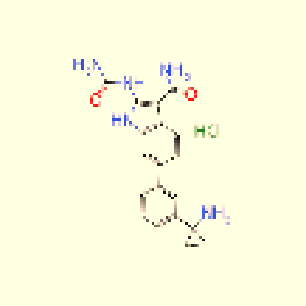 Cl.NC(=O)Nc1[nH]c2cc(-c3cccc(C4(N)CC4)c3)ccc2c1C(N)=O